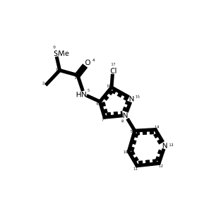 CSC(C)C(=O)Nc1cn(-c2cccnc2)nc1Cl